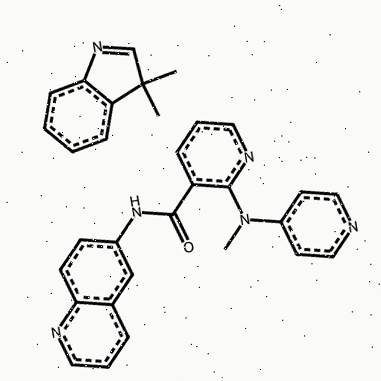 CC1(C)C=Nc2ccccc21.CN(c1ccncc1)c1ncccc1C(=O)Nc1ccc2ncccc2c1